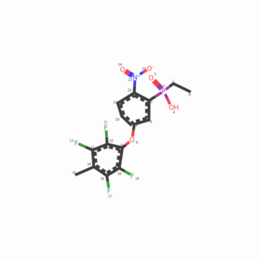 CCP(=O)(O)c1cc(Oc2c(F)c(F)c(C)c(F)c2F)ccc1[N+](=O)[O-]